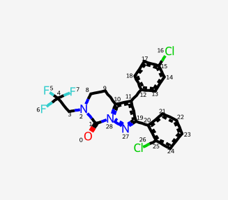 O=C1N(CC(F)(F)F)CCc2c(-c3ccc(Cl)cc3)c(-c3ccccc3Cl)nn21